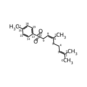 CC(C)=CCCC(C)=CCS(=O)(=O)c1ccc(C)cc1